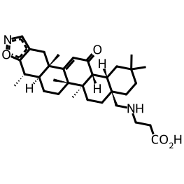 C[C@@H]1c2oncc2C[C@]2(C)C3=CC(=O)[C@@H]4[C@@H]5CC(C)(C)CC[C@]5(CNCCC(=O)O)CC[C@@]4(C)[C@]3(C)CC[C@@H]12